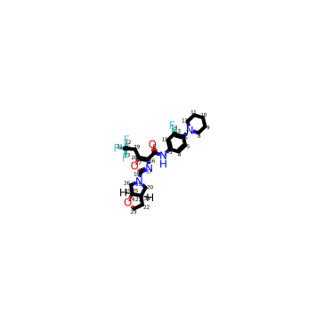 O=C(Nc1ccc(N2CCCCC2)c(F)c1)c1nc(N2C[C@H]3CCO[C@H]3C2)oc1CC(F)(F)F